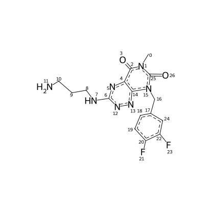 Cn1c(=O)c2nc(NCCCN)nnc2n(Cc2ccc(F)c(F)c2)c1=O